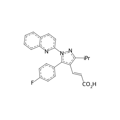 CC(C)c1nn(-c2ccc3ccccc3n2)c(-c2ccc(F)cc2)c1C=CC(=O)O